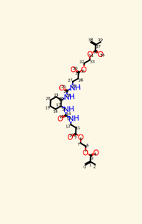 C=C(C)C(=O)OCCOC(=O)CCNC(=O)NC1CCCC[C@H]1NC(=O)NCCC(=O)OCCOC(=O)C(=C)C